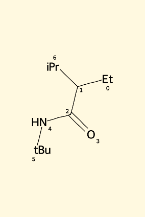 CCC(C(=O)NC(C)(C)C)C(C)C